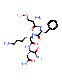 COC[C@H](N)C(=O)N[C@@H](Cc1ccccc1)C(=O)N[C@@H](CCCCN)C(=O)N[C@@H](CC(N)=O)C(N)=O